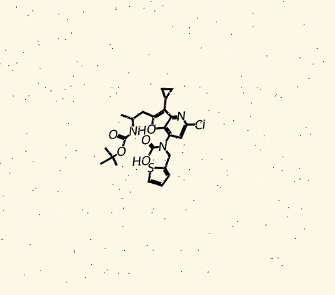 CC(Cc1oc2c(N(Cc3cccs3)C(=O)O)cc(Cl)nc2c1C1CC1)NC(=O)OC(C)(C)C